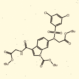 CC(C)(C)OC(=O)CNC(=O)c1cn(C(=O)OC(C)(C)C)c2cc(N(CC(=O)OC(C)(C)C)S(=O)(=O)c3cc(Cl)cc(Cl)c3)ccc12